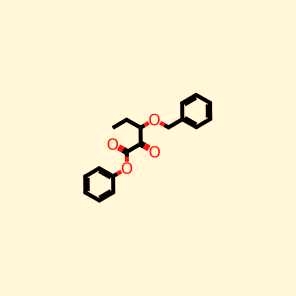 CCC(OCc1ccccc1)C(=O)C(=O)Oc1ccccc1